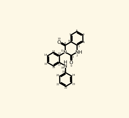 O=c1[nH]c2ccccc2c(=O)n1-c1ccccc1Nc1ccccc1